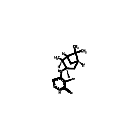 C[C@H]1[C@H]2C[C@H](C[C@H]1Nc1cn[nH]c(=O)c1Br)C2(C)C